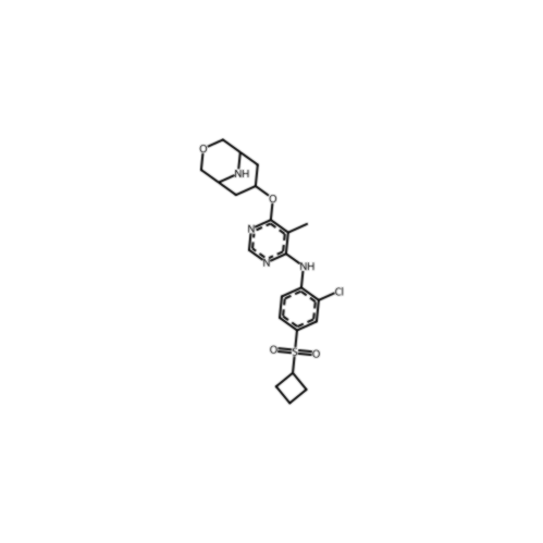 Cc1c(Nc2ccc(S(=O)(=O)C3CCC3)cc2Cl)ncnc1OC1CC2COCC(C1)N2